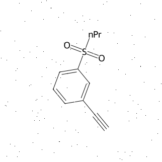 C#Cc1cccc(S(=O)(=O)CCC)c1